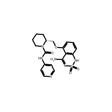 NC1=NS(=O)(=O)Nc2cccc(OC[C@H]3CCCCN3C(=O)Nc3ccncc3)c21